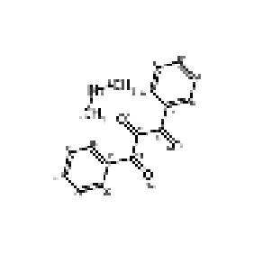 CNC.O=C(C(=O)c1ccccc1)C(=O)c1ccccc1